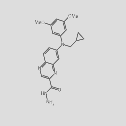 COc1cc(OC)cc(N(CC2CC2)c2ccc3ncc(C(=O)NN)nc3c2)c1